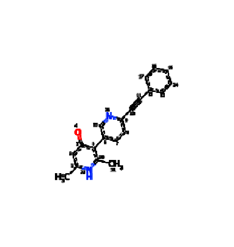 Cc1cc(=O)c(-c2ccc(C#Cc3ccccc3)nc2)c(C)[nH]1